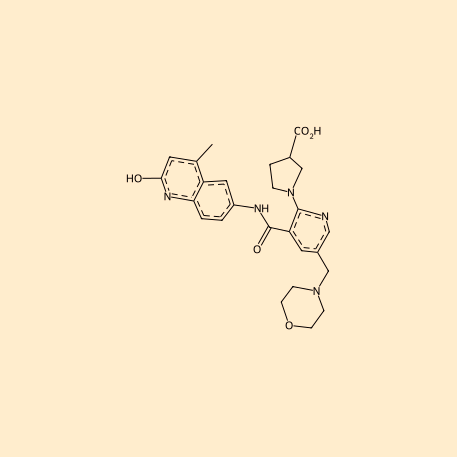 Cc1cc(O)nc2ccc(NC(=O)c3cc(CN4CCOCC4)cnc3N3CCC(C(=O)O)C3)cc12